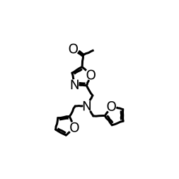 CC(=O)c1cnc(CN(Cc2ccco2)Cc2ccco2)o1